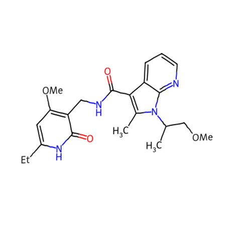 CCc1cc(OC)c(CNC(=O)c2c(C)n(C(C)COC)c3ncccc23)c(=O)[nH]1